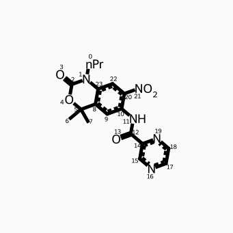 CCCN1C(=O)OC(C)(C)c2cc(NC(=O)c3cnccn3)c([N+](=O)[O-])cc21